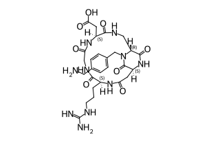 N=C(N)NCCC[C@@H]1NC(=O)C[C@@H]2NC(=O)[C@@H](CNC(=O)[C@H](CC(=O)O)NC(=O)CNC1=O)N(Cc1ccc(CN)cc1)C2=O